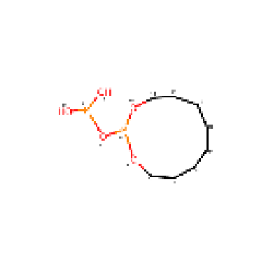 OP(O)OP1OCCCCCCCCO1